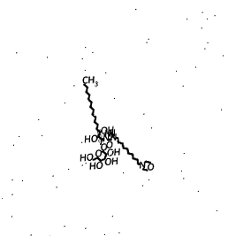 CCCCCCCCCCCCCC[C@@H](O)[C@@H](O)[C@H](COC1OC(CO)C(O)C(O)C1O)n1nnn(CCCCCCCCCCN2CCOCC2)c1=O